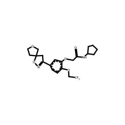 O=C(COc1cc(C2=NOC3(CCOC3)C2)ccc1OCC(F)(F)F)NC1CCCC1